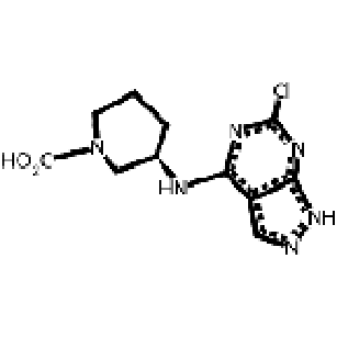 O=C(O)N1CCC[C@@H](Nc2nc(Cl)nc3[nH]ncc23)C1